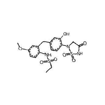 CCS(=O)(=O)Nc1ccc(OC)cc1Cc1ccc(N2CC(=O)NS2(=O)=O)c(O)c1